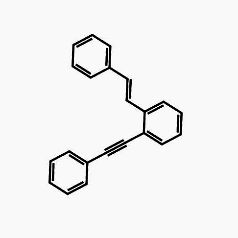 C(#Cc1ccccc1C=Cc1ccccc1)c1ccccc1